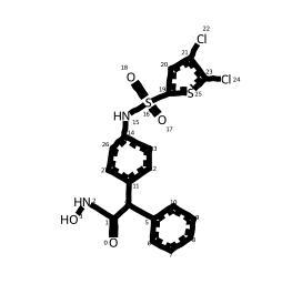 O=C(NO)C(c1ccccc1)c1ccc(NS(=O)(=O)c2cc(Cl)c(Cl)s2)cc1